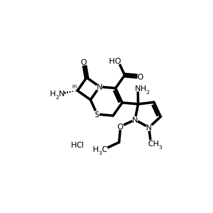 CCON1N(C)C=CC1(N)C1=C(C(=O)O)N2C(=O)[C@@H](N)C2SC1.Cl